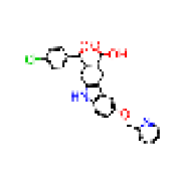 O=C(O)C1Cc2c([nH]c3ccc(OCc4ccccn4)cc23)CC1C(=O)c1ccc(Cl)cc1